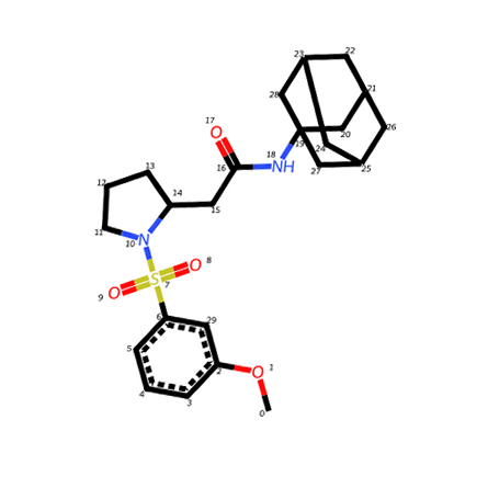 COc1cccc(S(=O)(=O)N2CCCC2CC(=O)NC23CC4CC(CC(C4)C2)C3)c1